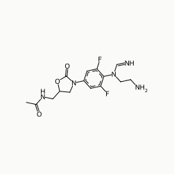 CC(=O)NCC1CN(c2cc(F)c(N(C=N)CCN)c(F)c2)C(=O)O1